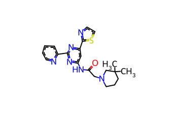 CC1(C)CCCN(CC(=O)Nc2cc(-c3nccs3)nc(-c3ccccn3)n2)C1